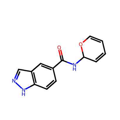 O=C(NC1C=CC=CO1)c1ccc2[nH]ncc2c1